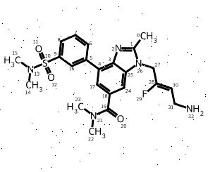 Cc1nc2c(-c3cccc(S(=O)(=O)N(C)C)c3)cc(C(=O)N(C)C)cc2n1C/C(F)=C/CN